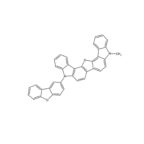 Cn1c2ccccc2c2c3oc4c(ccc5c4c4ccccc4n5-c4ccc5oc6ccccc6c5c4)c3ccc21